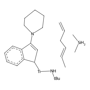 C=CCC=CC.CC(C)(C)[NH][Ti][CH]1C=C(N2CCCCC2)c2ccccc21.C[SiH2]C